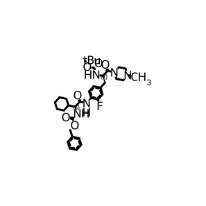 CN1CCN(C(=O)[C@@H](Cc2ccc(NC(=O)[C@@H](NC(=O)OCc3ccccc3)C3CCCCC3)c(F)c2)NC(=O)OC(C)(C)C)CC1